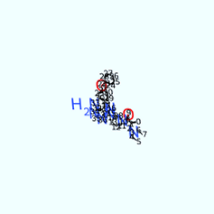 C=C(CN(CC)CC)C(=O)N1CCC[C@@H](n2nc(-c3ccc(Oc4ccccc4)cc3)c3c(N)ncnc32)C1